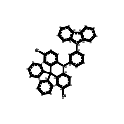 N#Cc1ccc2c(c1)C(c1ccccc1)(c1ccccc1)c1cc(C#N)ccc1N2c1cccc(-n2c3ccccc3c3ccccc32)c1